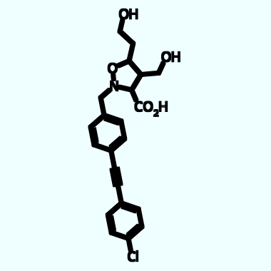 O=C(O)C1C(CO)C(CCO)ON1Cc1ccc(C#Cc2ccc(Cl)cc2)cc1